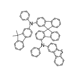 CC1(C)c2ccccc2-c2ccc(N(c3ccccc3)c3ccc4c(c3)C3(c5ccccc5-4)c4ccccc4-c4c(N(c5ccccc5)c5ccc6sc7ccccc7c6c5)cccc43)cc21